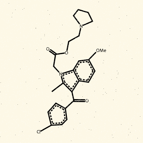 COc1ccc2c(C(=O)c3ccc(Cl)cc3)c(C)n(CC(=O)OCCN3CCCC3)c2c1